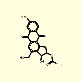 COc1ccc2c(c1)C(=O)c1cc(CO)c3c(c1C2=O)CC(OC(N)=O)C3O